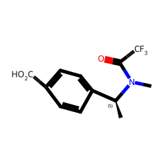 C[C@@H](c1ccc(C(=O)O)cc1)N(C)C(=O)C(F)(F)F